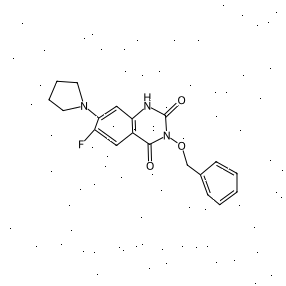 O=c1[nH]c2cc(N3CCCC3)c(F)cc2c(=O)n1OCc1ccccc1